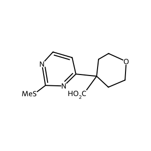 CSc1nccc(C2(C(=O)O)CCOCC2)n1